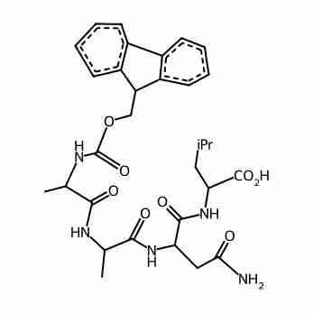 CC(C)CC(NC(=O)C(CC(N)=O)NC(=O)C(C)NC(=O)C(C)NC(=O)OCC1c2ccccc2-c2ccccc21)C(=O)O